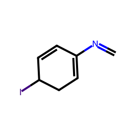 C=NC1=CCC(I)C=C1